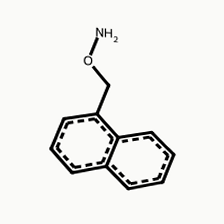 NOCc1cccc2ccccc12